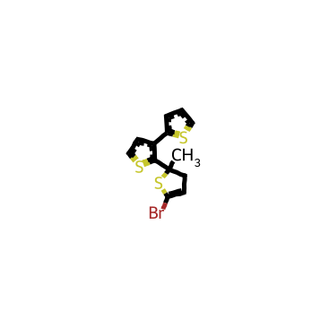 CC1(c2sccc2-c2cccs2)CC=C(Br)S1